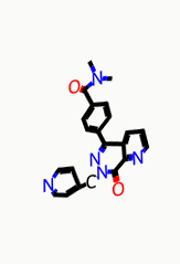 CN(C)C(=O)c1ccc(-c2nn(Cc3ccncc3)c(=O)c3ncccc23)cc1